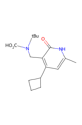 Cc1cc(C2CCC2)c(CN(C(=O)O)C(C)(C)C)c(=O)[nH]1